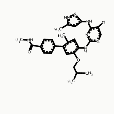 CNC(=O)c1ccc(-c2cc(OCC(C)C)c(Nc3ncc(Cl)c(Nc4cc(C)[nH]n4)n3)cc2C)cc1